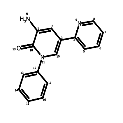 Nc1cc(-c2ccccn2)cn(-c2ccccc2)c1=O